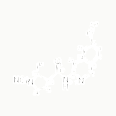 C#Cc1ccc2cnc(NC(=O)C3CCN(C#N)C3C)cc2c1